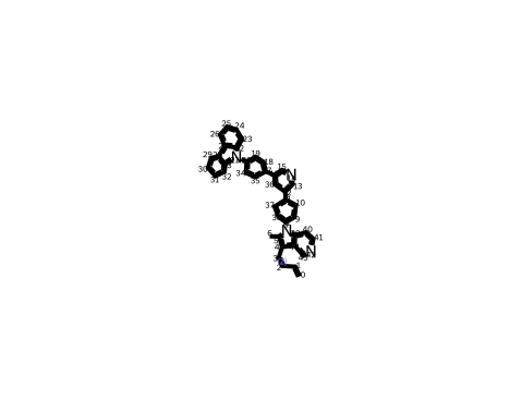 C=C/C=C\c1c(C)n(-c2ccc(-c3cncc(-c4ccc(-n5c6ccccc6c6ccccc65)cc4)c3)cc2)c2ccncc12